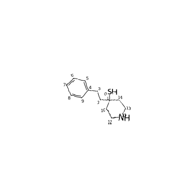 SC1(CCc2ccccc2)CCNCC1